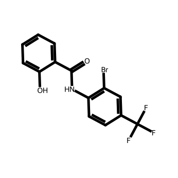 O=C(Nc1ccc(C(F)(F)F)cc1Br)c1ccccc1O